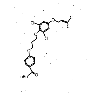 CCCCC(=O)c1ccc(OCCCOc2c(Cl)cc(OCC=C(Cl)Cl)cc2Cl)cc1